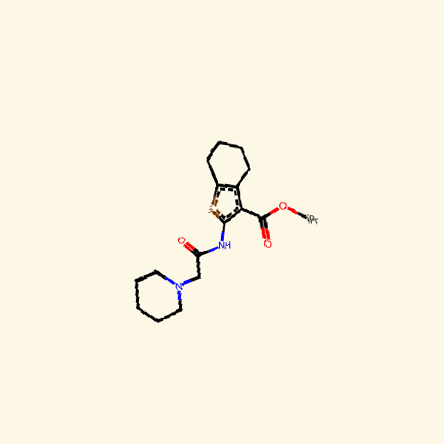 CC(C)OC(=O)c1c(NC(=O)CN2CCCCC2)sc2c1CCCC2